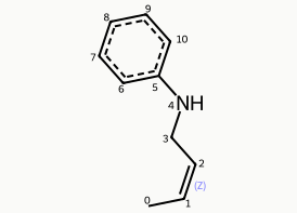 C/C=C\CNc1ccccc1